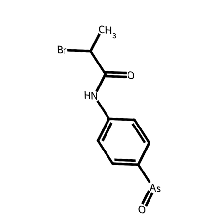 CC(Br)C(=O)Nc1ccc([As]=O)cc1